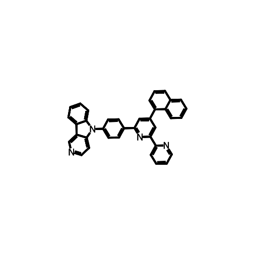 c1ccc(-c2cc(-c3cccc4ccccc34)cc(-c3ccc(-n4c5ccccc5c5cnccc54)cc3)n2)nc1